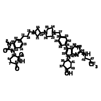 Cn1c(=O)n([C@H]2CCC(=O)NC2=O)c2ccc(CCCN3CC(N4CCN(Cc5ccc(-c6cn([C@H]7CC[C@H](O)CC7)c7nc(NCCC(F)(F)F)ncc67)cc5)CC4)C3)cc21